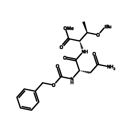 COC(=O)[C@@H](NC(=O)[C@H](CC(N)=O)NC(=O)OCc1ccccc1)[C@@H](C)OC(C)(C)C